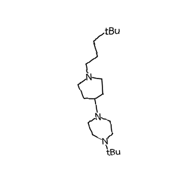 CC(C)(C)CCCN1CCC(N2CCN(C(C)(C)C)CC2)CC1